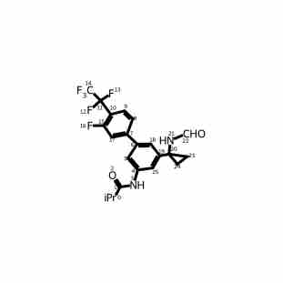 CC(C)C(=O)Nc1cc(-c2ccc(C(F)(F)C(F)(F)F)c(F)c2)cc(C2(NC=O)CC2)c1